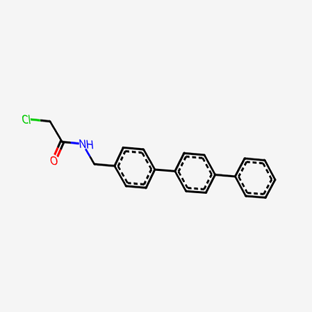 O=C(CCl)NCc1ccc(-c2ccc(-c3ccccc3)cc2)cc1